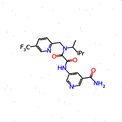 CC(C)C(C)N(Cc1ccc(C(F)(F)F)cn1)C(=O)C(=O)Nc1cncc(C(N)=O)c1